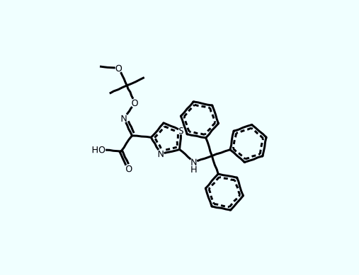 COC(C)(C)O/N=C(/C(=O)O)c1csc(NC(c2ccccc2)(c2ccccc2)c2ccccc2)n1